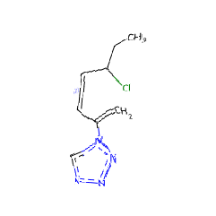 C=C(/C=C\C(Cl)CC)n1cnnn1